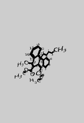 CCCCCC1(c2ccccc2)c2ccccc2C(C)C(C(=O)OC)C1COOC